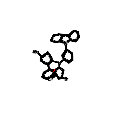 CC(C)(C)c1ccc(N(c2cc(Cl)cc(Br)c2)c2cccc(-n3c4ccccc4c4ccccc43)c2)c(-c2ccccc2)c1